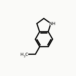 CCc1ccc2c(c1)CCN2